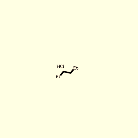 C[CH]CCCC.Cl